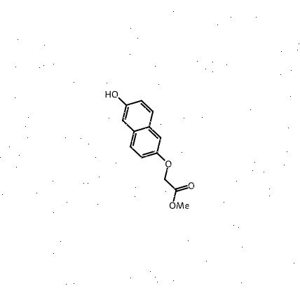 COC(=O)COc1ccc2cc(O)ccc2c1